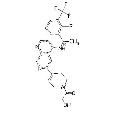 C[C@@H](Nc1ccnc2cnc(C3=CCN(C(=O)CO)CC3)cc12)c1cccc(C(F)(F)F)c1F